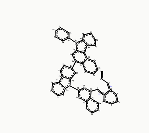 C=C/C=c1/cccc/c1=C\c1nc(-n2c3ccccc3c3ccc(-c4cc5c(c6ccccc46)c4ccccc4n5-c4ccccc4)cc32)nc2ccccc12